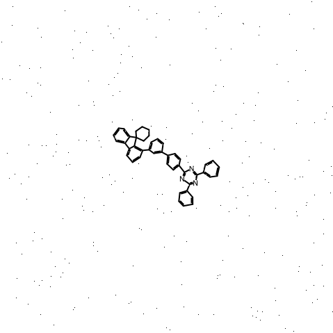 c1ccc(-c2nc(-c3ccccc3)nc(-c3ccc(-c4cccc(-c5cccc6c5C5(CCCCC5)c5ccccc5-6)c4)cc3)n2)cc1